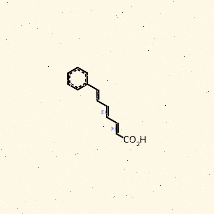 O=C(O)/C=C/C=C/C=Cc1ccccc1